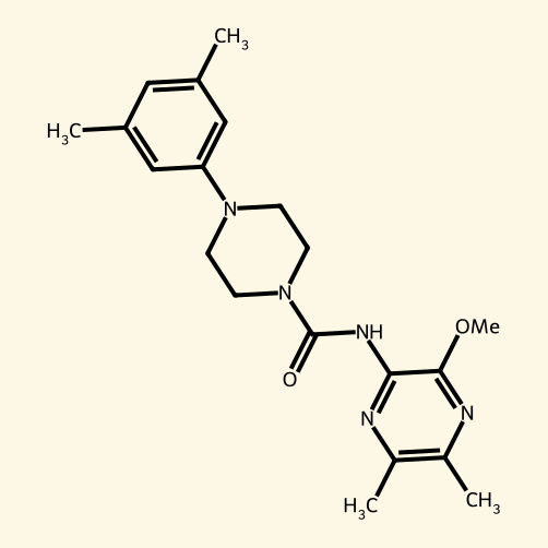 COc1nc(C)c(C)nc1NC(=O)N1CCN(c2cc(C)cc(C)c2)CC1